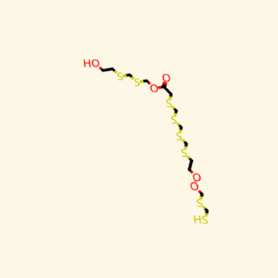 O=C(CSCSCSCSCCOOCSCS)OCSCSCCO